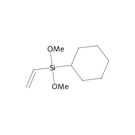 C=C[Si](OC)(OC)C1CCCCC1